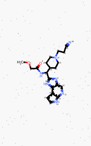 COCC(=O)NC(c1nc2cnc3[nH]ccc3c2[nH]1)C1CCN(CCC#N)CC1